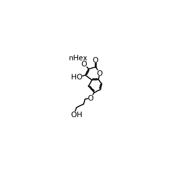 CCCCCCOc1c(O)c2cc(OCCCO)ccc2oc1=O